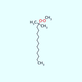 CCCCCCCCCCCCC(C)(C)OOC